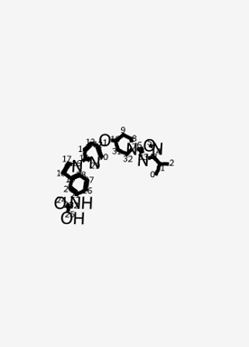 CC(C)c1noc(N2CCC(Oc3ccc(-n4ccc5cc(NC(=O)O)ccc54)nc3)CC2)n1